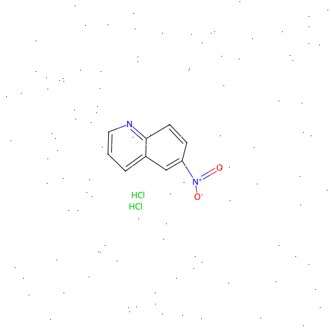 Cl.Cl.O=[N+]([O-])c1ccc2ncccc2c1